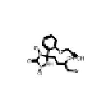 C#CCOc1ccccc1C1(CCC(O)CBr)NN(Cl)C(=O)N1Cl